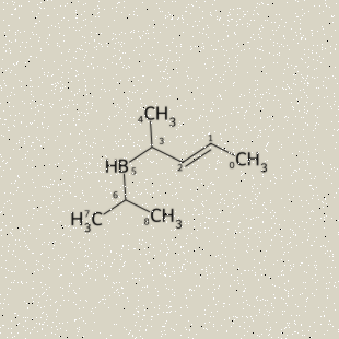 CC=CC(C)BC(C)C